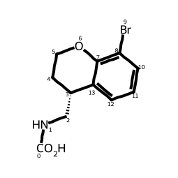 O=C(O)NC[C@@H]1CCOc2c(Br)cccc21